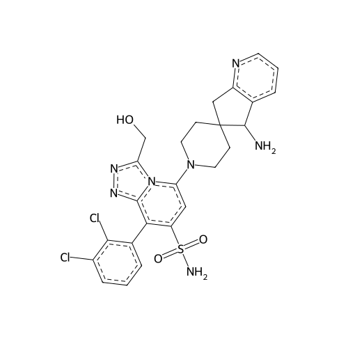 NC1c2cccnc2CC12CCN(c1cc(S(N)(=O)=O)c(-c3cccc(Cl)c3Cl)c3nnc(CO)n13)CC2